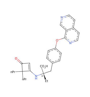 CCCC1(CCC)C(=O)C=C1N[C@@](CC)(Cc1ccc(Oc2nccc3ccncc23)cc1)C(=O)O